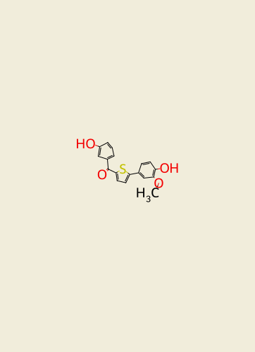 COc1cc(-c2ccc(C(=O)c3cccc(O)c3)s2)ccc1O